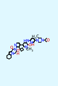 C[C@H]1CN(C2COC2)CCN1c1ccc(NC2=CC(c3ccnc(N4CCn5c(cc6c5CCCC6)C4=O)c3C3(O)CCC3)=CN(C)C2O)nc1